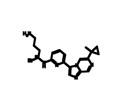 CC[C@@H](CCCN)Nc1cccc(-c2cnc3cnc(C4(C)CC4)cn23)n1